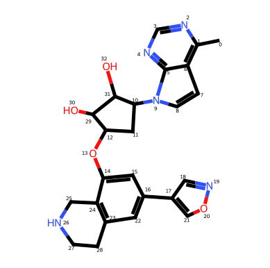 Cc1ncnc2c1ccn2C1CC(Oc2cc(-c3cnoc3)cc3c2CNCC3)C(O)C1O